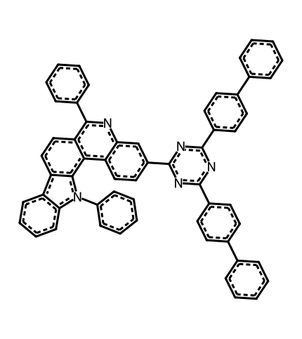 c1ccc(-c2ccc(-c3nc(-c4ccc(-c5ccccc5)cc4)nc(-c4ccc5c(c4)nc(-c4ccccc4)c4ccc6c7ccccc7n(-c7ccccc7)c6c45)n3)cc2)cc1